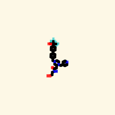 O=C(CC1CN(Cc2ccc(-c3ccc(C(O)(C(F)(F)F)C(F)(F)F)cc3)cc2)CCN1Cc1ccncc1)NCCO